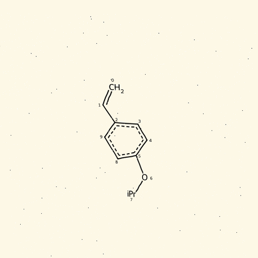 C=Cc1ccc(OC(C)C)cc1